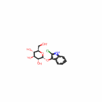 OC[C@H]1O[C@H](Oc2c(Cl)[nH]c3ccccc23)[C@H](O)[C@@H](O)[C@@H]1O